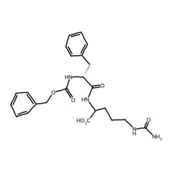 NC(=O)NCCCC(NC(=O)[C@@H](Cc1ccccc1)NC(=O)OCc1ccccc1)C(=O)O